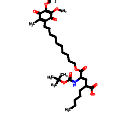 CCCCCC(CC(NC(=O)OC(C)(C)C)C(=O)OCCCCCCCCCCC1=C(C)C(=O)C(OC)=C(OC)C1=O)C(=O)O